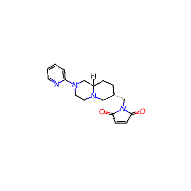 O=C1C=CC(=O)N1C[C@H]1CC[C@H]2CN(c3ccccn3)CCN2C1